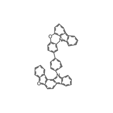 c1ccc2c(c1)oc1ccc3c4ccccc4n(-c4ccc(-c5ccc6c(c5)-n5c7ccccc7c7cccc(c75)O6)cc4)c3c12